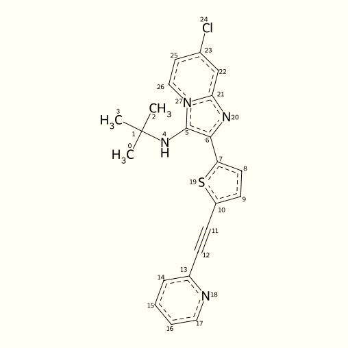 CC(C)(C)Nc1c(-c2ccc(C#Cc3ccccn3)s2)nc2cc(Cl)ccn12